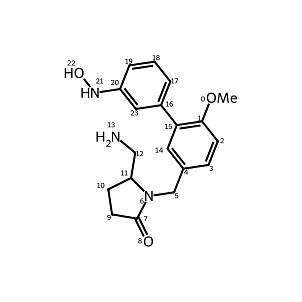 COc1ccc(CN2C(=O)CCC2CN)cc1-c1cccc(NO)c1